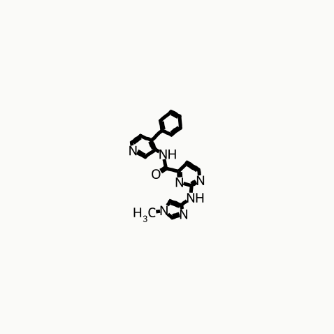 Cn1cnc(Nc2nccc(C(=O)Nc3cnccc3-c3ccccc3)n2)c1